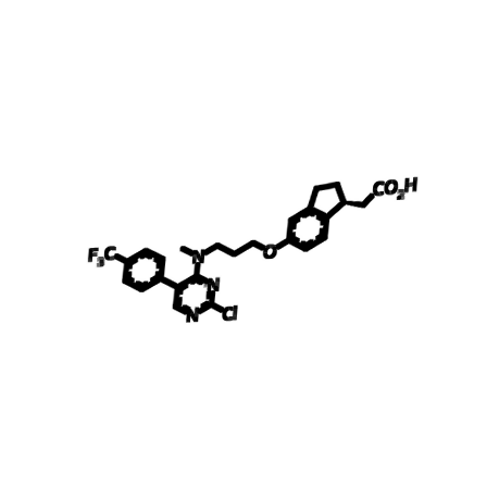 CN(CCCOc1ccc2c(c1)CC[C@H]2CC(=O)O)c1nc(Cl)ncc1-c1ccc(C(F)(F)F)cc1